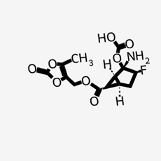 Cc1oc(=O)oc1COC(=O)[C@H]1[C@@H]2C[C@H](F)[C@@](N)(OC(=O)O)[C@@H]21